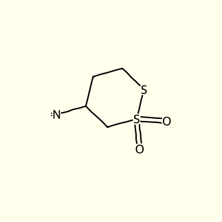 [N]C1CCSS(=O)(=O)C1